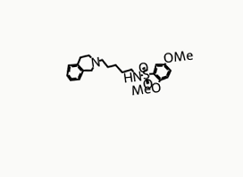 COc1ccc(OC)c(S(=O)(=O)NCCCCCN2CCc3ccccc3C2)c1